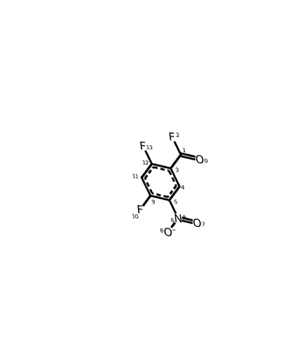 O=C(F)c1cc([N+](=O)[O-])c(F)cc1F